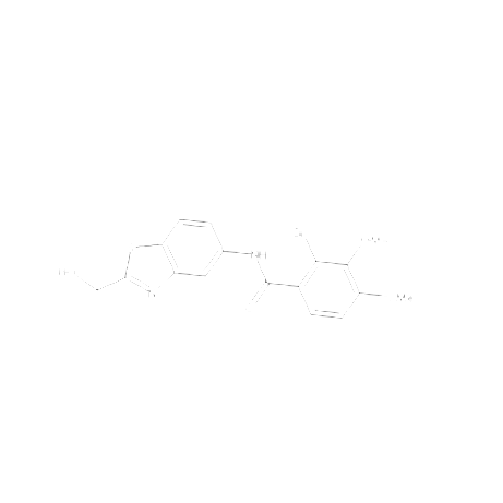 COc1ccc(C(=O)Nc2ccc3sc(CO)nc3c2)c(Br)c1OC